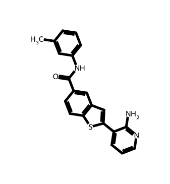 Cc1cccc(NC(=O)c2ccc3sc(-c4cccnc4N)cc3c2)c1